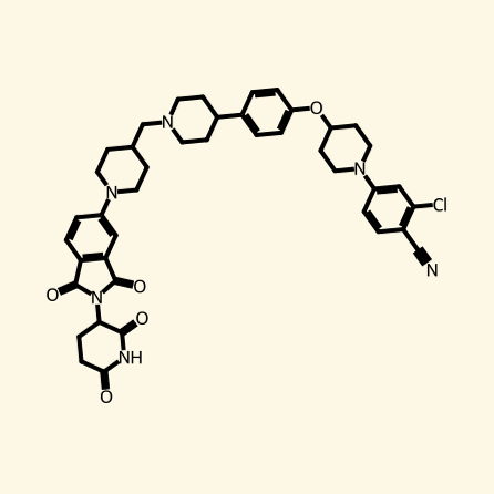 N#Cc1ccc(N2CCC(Oc3ccc(C4CCN(CC5CCN(c6ccc7c(c6)C(=O)N(C6CCC(=O)NC6=O)C7=O)CC5)CC4)cc3)CC2)cc1Cl